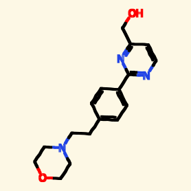 OCc1ccnc(-c2ccc(CCN3CCOCC3)cc2)n1